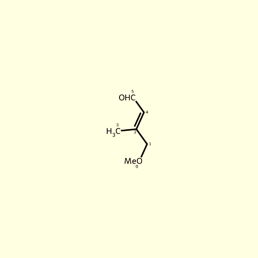 COC/C(C)=C/C=O